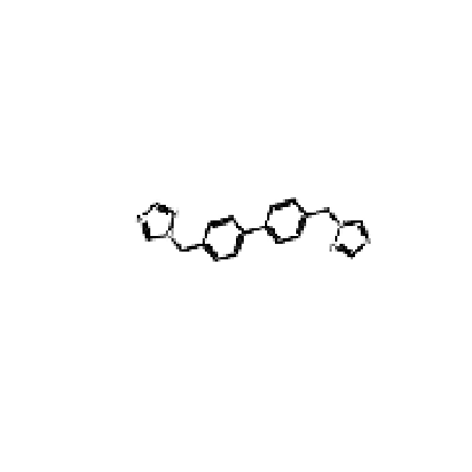 c1ncn(Cc2ccc(-c3ccc(Cn4cncn4)cc3)cc2)n1